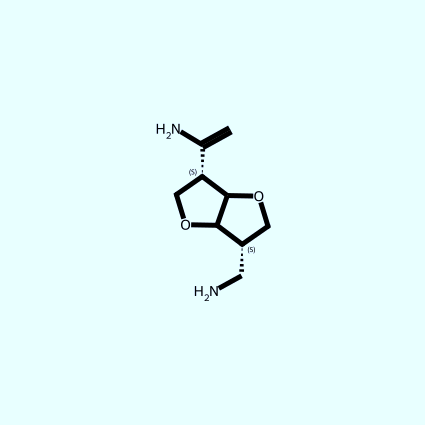 C=C(N)[C@H]1COC2C1OC[C@@H]2CN